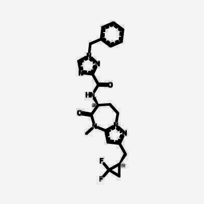 CN1C(=O)[C@@H](NC(=O)c2ncn(Cc3ccccc3)n2)CCn2nc(C[C@H]3CC3(F)F)cc21